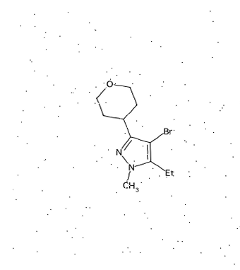 CCc1c(Br)c(C2CCOCC2)nn1C